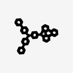 c1ccc(-c2ccc(N(c3ccc(-c4ccccc4)cc3)c3ccc(-n4c5cccc6c7ccccc7c7cccc4c7c65)cc3)cc2)cc1